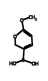 COC1=CC=C(B(O)O)CO1